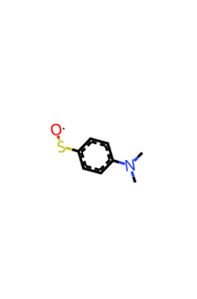 CN(C)c1ccc(S[O])cc1